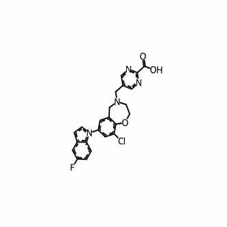 O=C(O)c1ncc(CN2CCOc3c(Cl)cc(-n4ccc5cc(F)ccc54)cc3C2)cn1